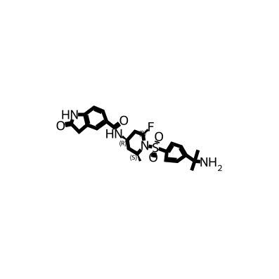 C[C@H]1C[C@@H](NC(=O)c2ccc3c(c2)CC(=O)N3)C[C@@H](F)N1S(=O)(=O)c1ccc(C(C)(C)N)cc1